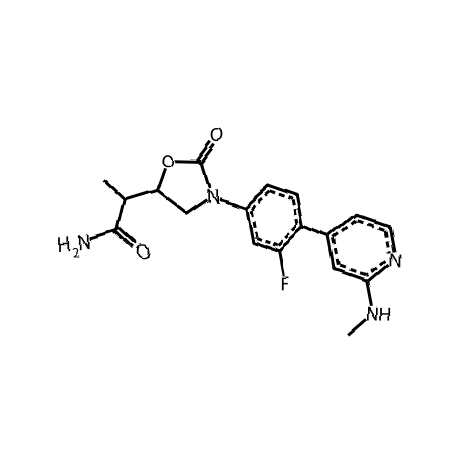 CNc1cc(-c2ccc(N3CC(C(C)C(N)=O)OC3=O)cc2F)ccn1